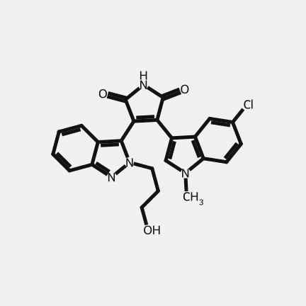 Cn1cc(C2=C(c3c4ccccc4nn3CCCO)C(=O)NC2=O)c2cc(Cl)ccc21